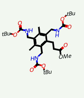 COC(=O)CCc1c(CNC(=O)OC(C)(C)C)c(C)c(CNC(=O)OC(C)(C)C)c(C)c1CNC(=O)OC(C)(C)C